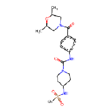 CC1CN(C(=O)c2ccc(NC(=O)N3CCC(NS(=O)(=O)C(C)(C)C)CC3)cc2)CC(C)O1